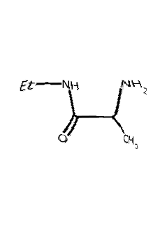 CCNC(=O)C(C)N